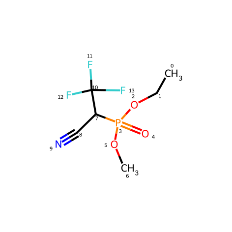 CCOP(=O)(OC)C(C#N)C(F)(F)F